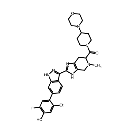 CCc1cc(O)c(F)cc1-c1ccc2c(-c3nc4c([nH]3)CN(C)C(C(=O)N3CCC(N5CCOCC5)CC3)C4)n[nH]c2c1